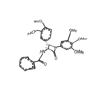 COc1ccc([C@H]2[C@H](NC(=O)c3ccccc3)C(=O)N2c2cc(OC)c(OC)c(OC)c2)cc1O